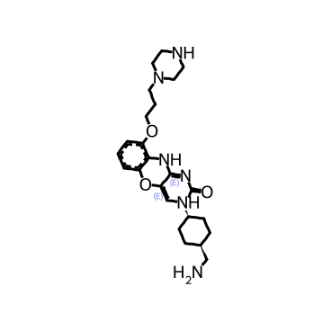 CC(=O)/N=C1/Nc2c(OCCCN3CCNCC3)cccc2O/C1=C/N[C@H]1CC[C@H](CN)CC1